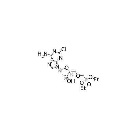 CCOP(=O)(COC[C@H]1O[C@@H](n2cnc3c(N)nc(Cl)nc32)C[C@@H]1O)OCC